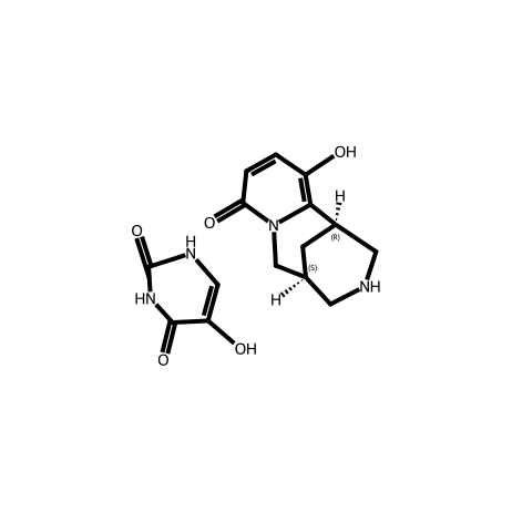 O=c1[nH]cc(O)c(=O)[nH]1.O=c1ccc(O)c2n1C[C@@H]1CNC[C@H]2C1